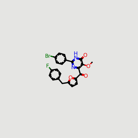 COc1c(C(=O)c2ccc(Cc3ccc(F)cc3)o2)nc(-c2ccc(Br)cc2)[nH]c1=O